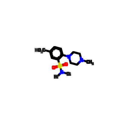 CCN(CC)S(=O)(=O)c1cc(C(=O)O)ccc1N1CCN(C)CC1